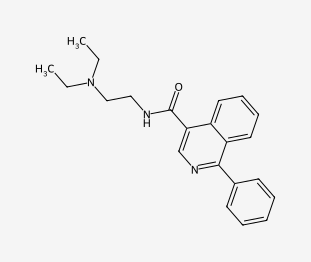 CCN(CC)CCNC(=O)c1cnc(-c2ccccc2)c2ccccc12